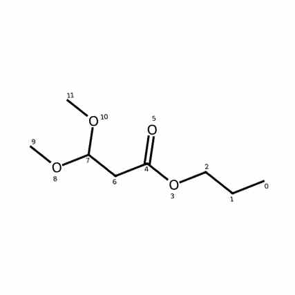 CCCOC(=O)CC(OC)OC